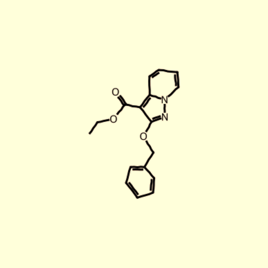 CCOC(=O)c1c(OCc2ccccc2)nn2ccccc12